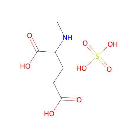 CNC(CCC(=O)O)C(=O)O.O=S(=O)(O)O